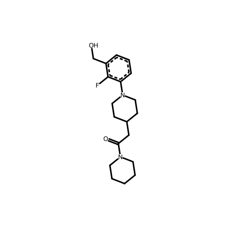 O=C(CC1CCN(c2cccc(CO)c2F)CC1)N1CCCCC1